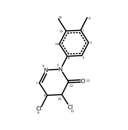 Cc1ccc(N2N=CC(Cl)C(Cl)C2=O)cc1C